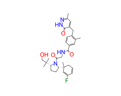 Cc1cc(Cc2ccc(C(=O)NCC(=O)N3[C@H](C4(C)C=C(F)C=CC4)CC[C@@H]3C(C)(C)CO)cc2C)c(=O)[nH]n1